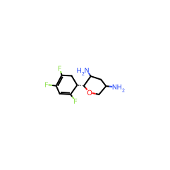 NC1CO[C@H](C2CC(F)=C(F)C=C2F)C(N)C1